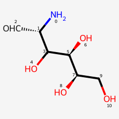 N[C@@H](C=O)[C](O)[C@@H](O)[C@H](O)CO